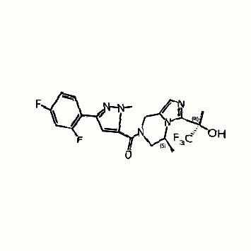 C[C@H]1CN(C(=O)c2cc(-c3ccc(F)cc3F)nn2C)Cc2cnc([C@@](C)(O)C(F)(F)F)n21